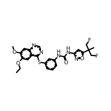 CCOc1cc2c(Sc3cccc(NC(=O)Nc4cc(C(C)(CF)CF)on4)c3)ncnc2cc1OC